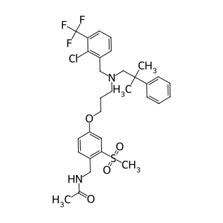 CC(=O)NCc1ccc(OCCCN(Cc2cccc(C(F)(F)F)c2Cl)CC(C)(C)c2ccccc2)cc1S(C)(=O)=O